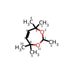 CC1OC(C)(C)C=CC(C)(C)O1